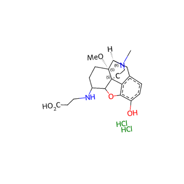 CO[C@@]12CCC(NCCC(=O)O)C3Oc4c(O)ccc5c4[C@@]31CCN(C)[C@@H]2C5.Cl.Cl